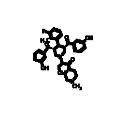 Cc1c(F)cccc1C1[C@@H](C(=O)c2cccc(O)c2)CN(C(CO)C(=O)N2CCN(C)CC2)C[C@@H]1C(=O)c1cccc(O)c1